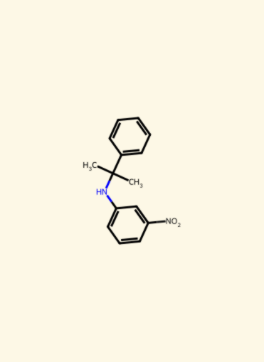 CC(C)(Nc1cccc([N+](=O)[O-])c1)c1ccccc1